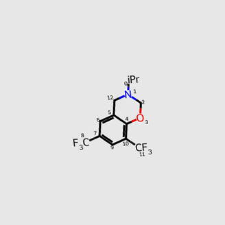 CC(C)N1COc2c(cc(C(F)(F)F)cc2C(F)(F)F)C1